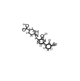 COC(=O)C1CCC(NCc2ncc(-c3cccc(Br)c3C)nc2OC)CC1